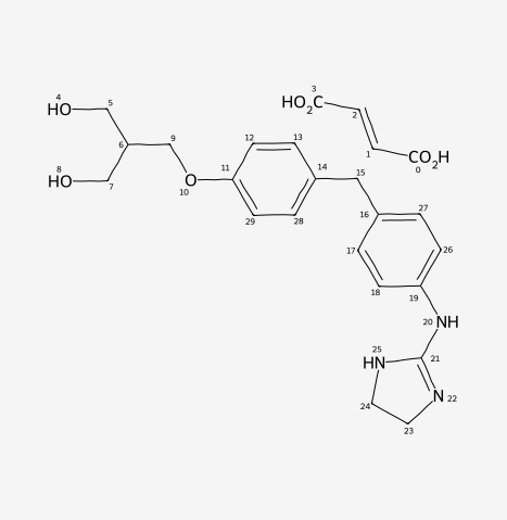 O=C(O)C=CC(=O)O.OCC(CO)COc1ccc(Cc2ccc(NC3=NCCN3)cc2)cc1